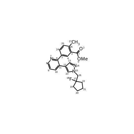 COC(=O)c1cc(-c2ncccc2-c2cnn(CC3(F)CCCC3)c2)ccc1C